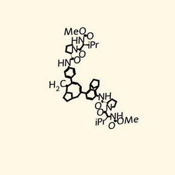 C=C1/C(c2ccc(NC(=O)[C@@H]3CCCN3C(=O)[C@@H](NC(=O)OC)C(C)C)cc2)=C\C=C(\c2ccc(NC(=O)[C@@H]3CCCN3C(=O)[C@@H](NC(=O)OC)C(C)C)c3c2C2CCC3C2)CC2CCC1C2